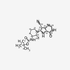 CC(C)(C)OC(=O)NC1CCCN(c2[nH]c3c(=O)[nH]cnc3c2C#N)C1I